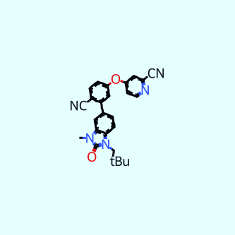 Cn1c(=O)n(CC(C)(C)C)c2ccc(-c3cc(Oc4ccnc(C#N)c4)ccc3C#N)cc21